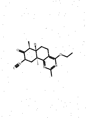 [C-]#[N+]C1C[C@]2(C)c3nc(C)nc(OCC)c3CC[C@H]2[C@H](C)C1=O